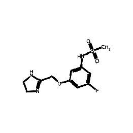 CS(=O)(=O)Nc1cc(F)cc(OCC2=NCCN2)c1